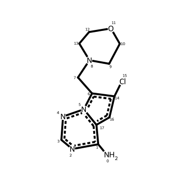 Nc1ncnn2c(CN3CCOCC3)c(Cl)cc12